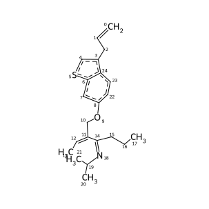 C=CCc1csc2cc(OCC(=C/C)/C(CCC)=N\C(C)C)ccc12